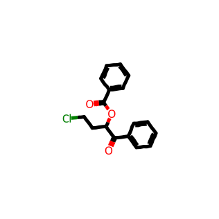 O=C(OC(CCCl)C(=O)c1ccccc1)c1ccccc1